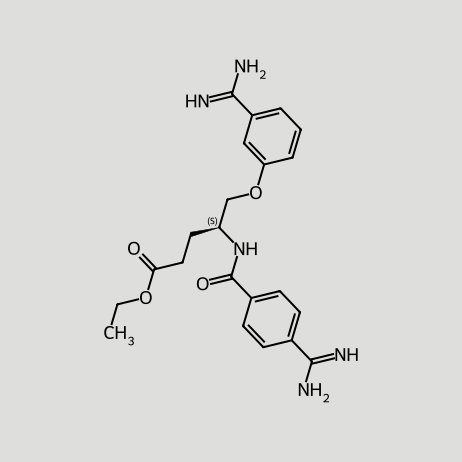 CCOC(=O)CC[C@@H](COc1cccc(C(=N)N)c1)NC(=O)c1ccc(C(=N)N)cc1